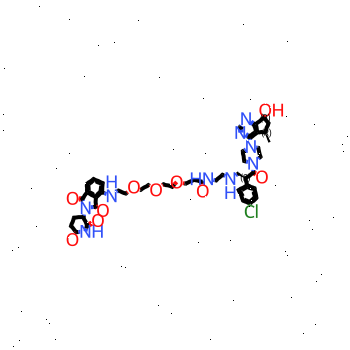 C[C@@H]1C[C@@H](O)c2ncnc(N3CCN(C(=O)[C@H](CNCCNC(=O)CCOCCOCCOCCNc4cccc5c4C(=O)N(C4CCC(=O)NC4=O)C5=O)c4ccc(Cl)cc4)CC3)c21